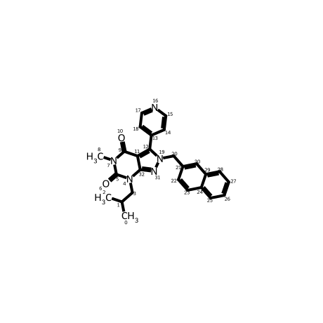 CC(C)Cn1c(=O)n(C)c(=O)c2c(-c3ccncc3)n(Cc3ccc4ccccc4c3)nc21